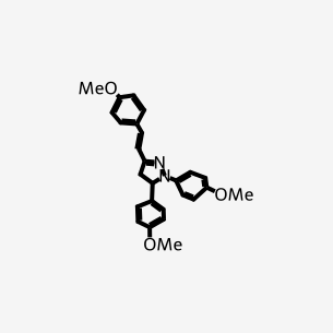 COc1ccc(C=CC2=NN(c3ccc(OC)cc3)C(c3ccc(OC)cc3)C2)cc1